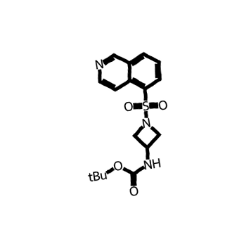 CC(C)(C)OC(=O)NC1CN(S(=O)(=O)c2cccc3cnccc23)C1